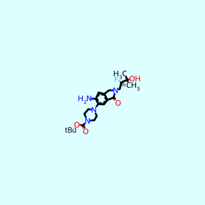 CC(C)(C)OC(=O)N1CCN(c2cc3c(cc2N)CN(C[C@@H](F)C(C)(C)O)C3=O)CC1